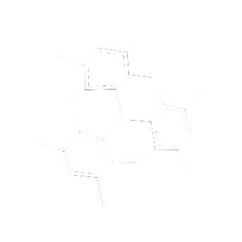 Cc1cc(C)c(C)c(B2c3c(C)c(C)cc(C)c3Cc3c(C)cc(C)c(C)c32)c1C